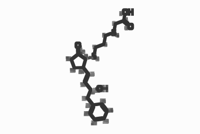 O=C(O)CSCCCS[C@H]1C(=O)CCC1C=C[C@H](O)Cc1ccccc1